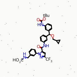 CC(C)(C)OC(=O)Nc1cccc(C(OCC2CC2)c2cccc(NC(=O)c3cc(C(F)(F)F)nn3-c3cccc(CNC(=O)O)c3)c2)c1